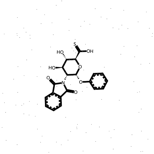 O=C1c2ccccc2C(=O)N1[C@H]1[C@@H](Oc2ccccc2)O[C@H](C(O)=S)[C@@H](O)[C@@H]1O